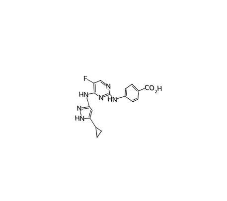 O=C(O)c1ccc(Nc2ncc(F)c(Nc3cc(C4CC4)[nH]n3)n2)cc1